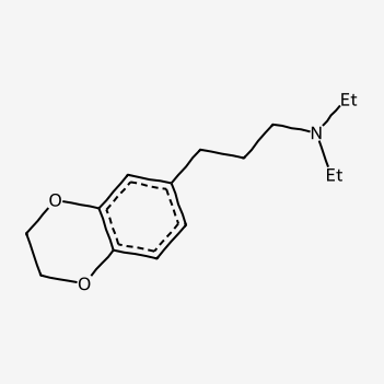 CCN(CC)CCCc1ccc2c(c1)OCCO2